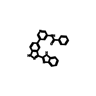 O=C(Nc1cncc(-c2ccc3[nH]nc(-c4nc5ccccc5[nH]4)c3c2)c1)c1ccccc1